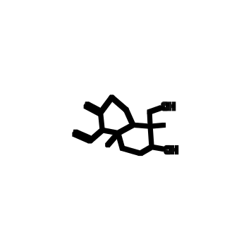 C=CC1C(=C)CCC2C(C)(CO)C(O)CCC12C